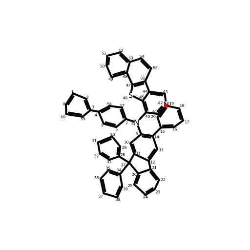 c1ccc(-c2ccc(N(c3cc4c(cc3-c3ccccc3)-c3ccccc3C4(c3ccccc3)c3ccccc3)c3cncc4c3sc3c5ccccc5ccc43)cc2)cc1